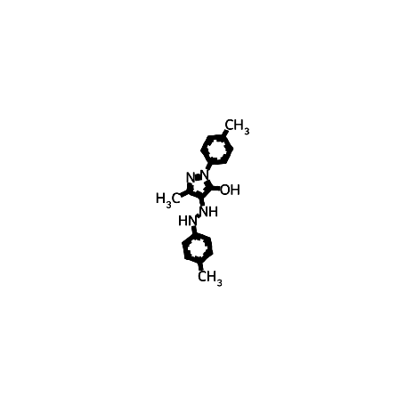 Cc1ccc(NNc2c(C)nn(-c3ccc(C)cc3)c2O)cc1